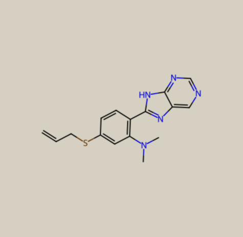 C=CCSc1ccc(-c2nc3cncnc3[nH]2)c(N(C)C)c1